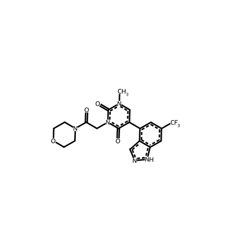 Cn1cc(-c2cc(C(F)(F)F)cc3[nH]ncc23)c(=O)n(CC(=O)N2CCOCC2)c1=O